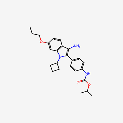 CCCOc1ccc2c(N)c(-c3ccc(NC(=O)OC(C)C)cc3)n(C3CCC3)c2c1